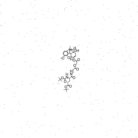 COc1ccc2c3c1O[C@H]1C(OC(=O)[C@H](C)OC(=O)CCNC(=O)C(CCC(=O)OC(C)(C)C)NC(=O)OC(C)(C)C)=CC[C@@]4(O)[C@@H](C2)N(C)CC[C@]314